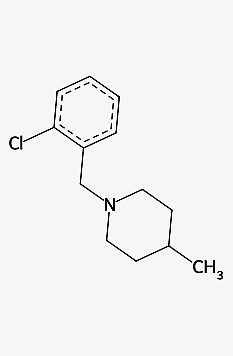 CC1CCN(Cc2ccccc2Cl)CC1